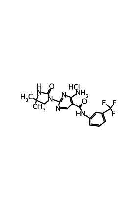 CC1(C)CN(c2ncc(C(=O)Nc3cccc(C(F)(F)F)c3)c(N)n2)C(=O)N1.Cl